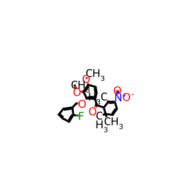 COc1ccc(C(=O)C2C(C)=C([N+](=O)[O-])C=CC2(C)C)c(OCc2ccccc2F)c1OC